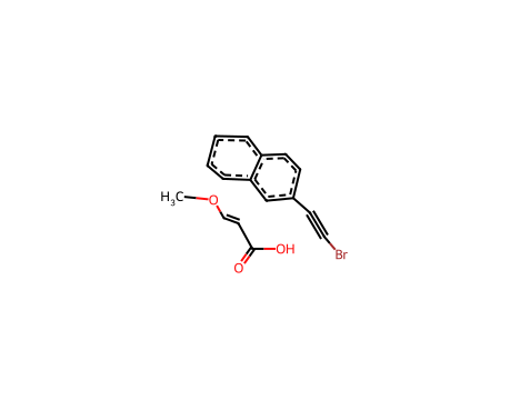 BrC#Cc1ccc2ccccc2c1.COC=CC(=O)O